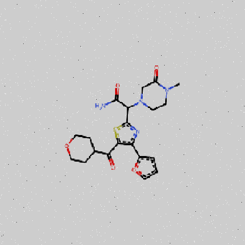 CN1CCN(C(C(N)=O)c2nc(-c3ccco3)c(C(=O)C3CCOCC3)s2)CC1=O